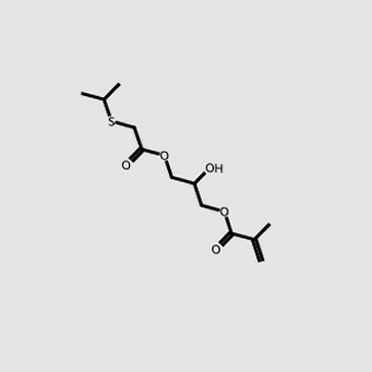 C=C(C)C(=O)OCC(O)COC(=O)CSC(C)C